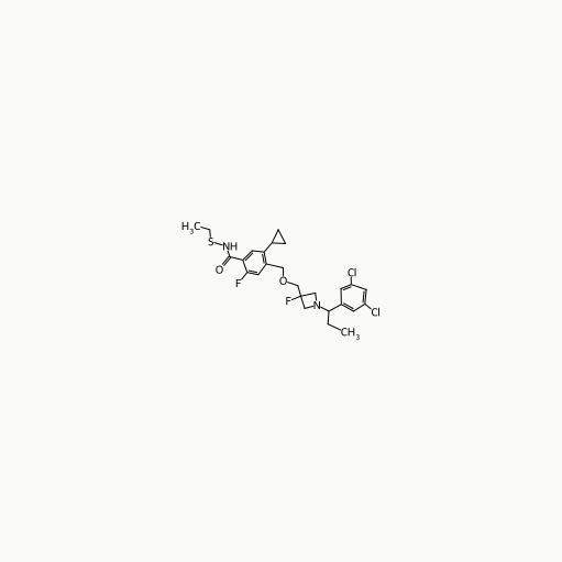 CCSNC(=O)c1cc(C2CC2)c(COCC2(F)CN(C(CC)c3cc(Cl)cc(Cl)c3)C2)cc1F